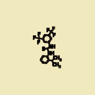 CC(C)c1ccccc1NC(=S)Nc1cc(C(F)(F)F)cc(C(F)(F)F)c1